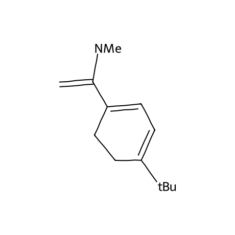 C=C(NC)C1=CC=C(C(C)(C)C)CC1